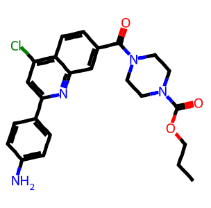 CCCOC(=O)N1CCN(C(=O)c2ccc3c(Cl)cc(-c4ccc(N)cc4)nc3c2)CC1